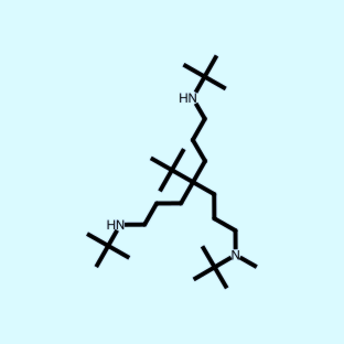 CN(CCCC(CCCNC(C)(C)C)(CCCNC(C)(C)C)C(C)(C)C)C(C)(C)C